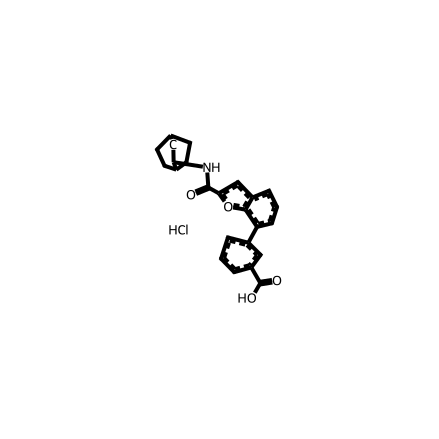 Cl.O=C(O)c1cccc(-c2cccc3cc(C(=O)NC4CC5CCC4CC5)oc23)c1